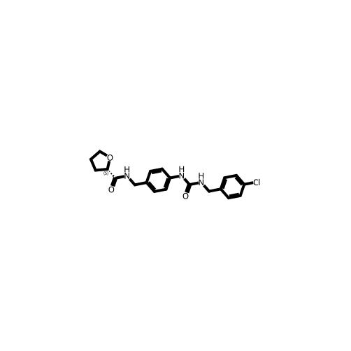 O=C(NCc1ccc(Cl)cc1)Nc1ccc(CNC(=O)[C@@H]2CCCO2)cc1